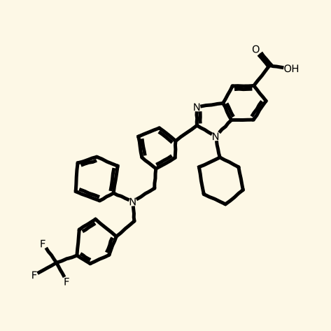 O=C(O)c1ccc2c(c1)nc(-c1cccc(CN(Cc3ccc(C(F)(F)F)cc3)c3ccccc3)c1)n2C1CCCCC1